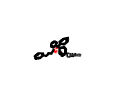 COc1ccc(C(OCCCCc2ccccc2)(c2ccccc2)c2ccccc2)cc1